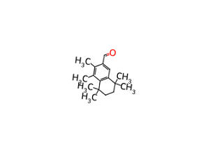 Cc1c(C=O)cc2c(c1C)C(C)(C)CCC2(C)C